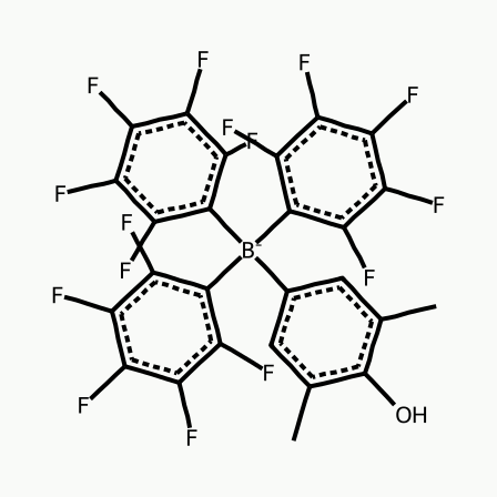 Cc1cc([B-](c2c(F)c(F)c(F)c(F)c2F)(c2c(F)c(F)c(F)c(F)c2F)c2c(F)c(F)c(F)c(F)c2F)cc(C)c1O